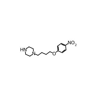 O=[N+]([O-])c1ccc(OCCCCN2CCNCC2)cc1